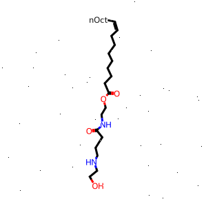 CCCCCCCC/C=C\CCCCCCCC(=O)OCCNC(=O)CCCNCCO